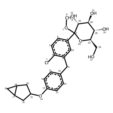 COC1(c2ccc(Cl)c(Cc3ccc(OC4CC5CC5C4)cc3)c2)O[C@H](CO)[C@@H](O)[C@H](O)[C@H]1O